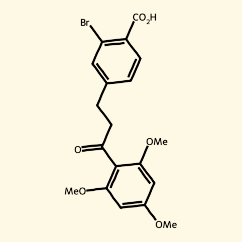 COc1cc(OC)c(C(=O)CCc2ccc(C(=O)O)c(Br)c2)c(OC)c1